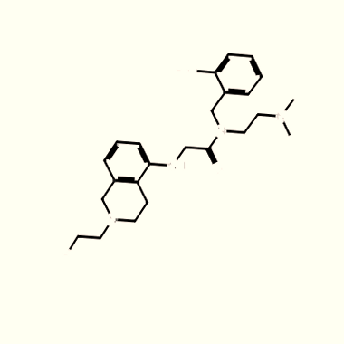 CN(C)CCN(Cc1ccccc1C(F)(F)F)C(=O)CNc1cccc2c1CCN(CCF)C2